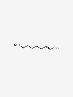 CCCCC=CCCCCC(C)OC(C)=O